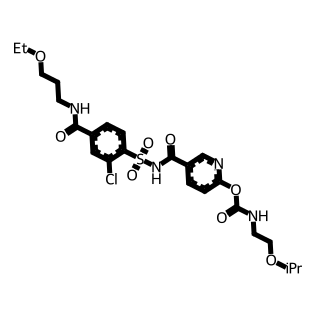 CCOCCCNC(=O)c1ccc(S(=O)(=O)NC(=O)c2ccc(OC(=O)NCCOC(C)C)nc2)c(Cl)c1